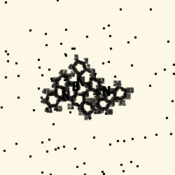 Cc1ccccc1N1B2c3c(cc4ccccc4c3-c3c1ccc1c3c3cccc4c5ccccc5n1c43)-n1c3ccccc3c3cccc2c31